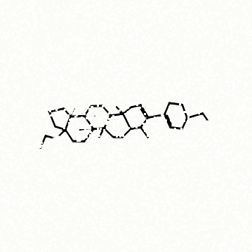 CCNC12CCC[C@@H]1[C@H]1CCC3C4(C)CC=C(C5=CCC(CF)CC5)C(C)C4CCC3(C)[C@]1(C)CC2